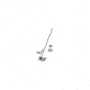 CCCCCCCCCCCCCCCCOC[C@@H](O)COP(=O)(O)O.C[N+](C)(C)CCO